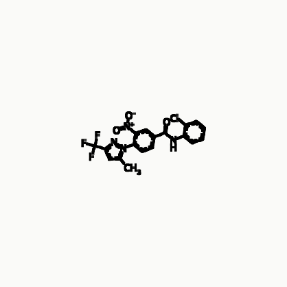 Cc1cc(C(F)(F)F)nn1-c1ccc(C(=O)Nc2ccccc2Cl)cc1[N+](=O)[O-]